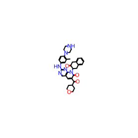 Cc1cc(Nc2ncc3cc(C(=O)C4CCOCC4)c(=O)n(C4Cc5ccccc5CC4=O)c3n2)ccc1N1CCNCC1